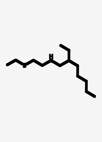 CCCCCC(CC)CNCCSCC